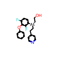 OCC[As@@](CCc1ccncc1)c1ccc(F)c(Oc2ccccc2)c1F